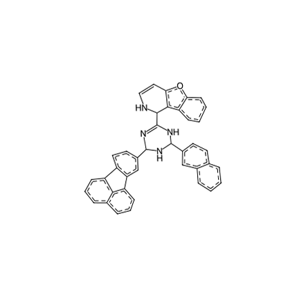 C1=Cc2oc3ccccc3c2C(C2=NC(c3ccc4c(c3)-c3cccc5cccc-4c35)NC(c3ccc4ccccc4c3)N2)N1